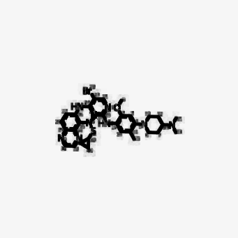 COc1cc(N2CCC(N(C)C)CC2)c(C)cc1Nc1ncc(Br)c(Nc2ccc3nccnc3c2N(C)SC2CC2)n1